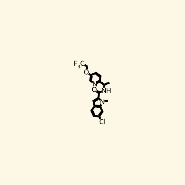 CC(NC(=O)c1cc2ccc(Cl)cc2n1C)c1ccc(OCC(F)(F)F)cn1